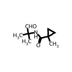 CC(C)(C=O)NC(=O)C1(C)CC1